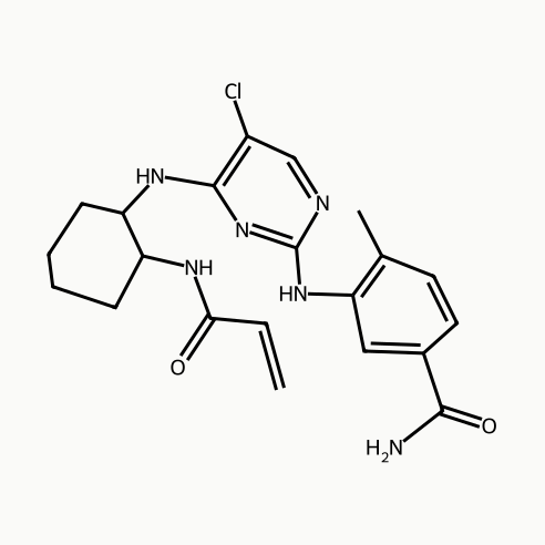 C=CC(=O)NC1CCCCC1Nc1nc(Nc2cc(C(N)=O)ccc2C)ncc1Cl